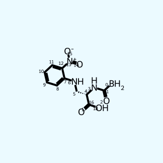 BC(=O)N[C@@H](CNc1ccccc1[N+](=O)[O-])C(=O)O